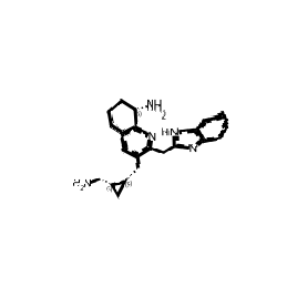 NC[C@H]1C[C@H]1Cc1cc2c(nc1Cc1nc3ccccc3[nH]1)[C@@H](N)CCC2